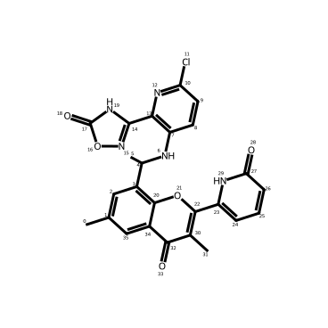 Cc1cc(C(C)Nc2ccc(Cl)nc2-c2noc(=O)[nH]2)c2oc(-c3cccc(=O)[nH]3)c(C)c(=O)c2c1